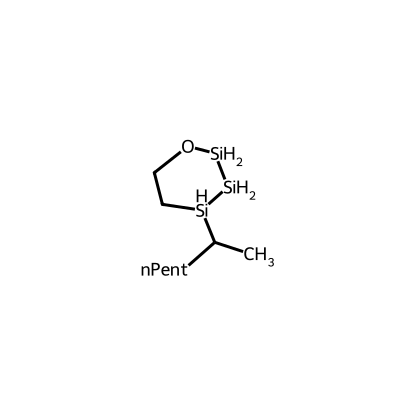 CCCCCC(C)[SiH]1CCO[SiH2][SiH2]1